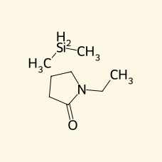 CCN1CCCC1=O.C[SiH2]C